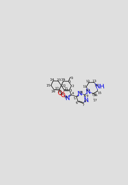 CC1Cc2c(-c3ccnc(N4CCCNC[C@@H]4C)n3)noc2C2(CCCCC2=O)C1